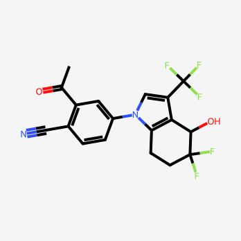 CC(=O)c1cc(-n2cc(C(F)(F)F)c3c2CCC(F)(F)C3O)ccc1C#N